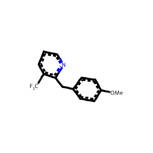 COc1ccc(Cc2ncccc2C(F)(F)F)cc1